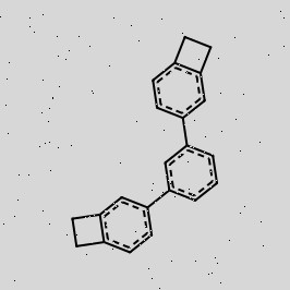 c1cc(-c2ccc3c(c2)CC3)cc(-c2ccc3c(c2)CC3)c1